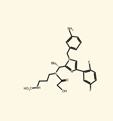 CC(C)(C)[C@H](c1nc(-c2cc(F)ccc2F)cn1Cc1cccc(N)c1)N(CCCNC(=O)O)C(=O)CO